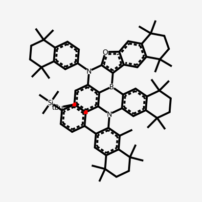 Cc1c(N2c3cc4c(cc3B3c5c(cc(C(C)(C)C)cc52)N(c2ccc5c(c2)C(C)(C)CCC5(C)C)c2oc5cc6c(cc5c23)C(C)(C)CCC6(C)C)C(C)(C)CCC4(C)C)c(-c2ccc([Si](C)(C)C)cc2)cc2c1C(C)(C)CCC2(C)C